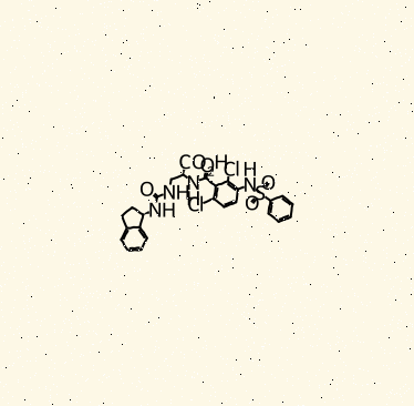 O=C(NC[C@H](NC(=O)c1c(Cl)ccc(NS(=O)(=O)c2ccccc2)c1Cl)C(=O)O)N[C@@H]1CCc2ccccc21